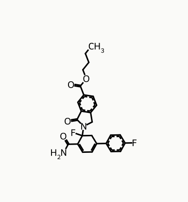 CCCCOC(=O)c1ccc2c(c1)C(=O)N(C1(F)CC(c3ccc(F)cc3)=CC=C1C(N)=O)C2